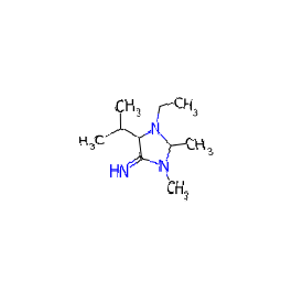 CCN1C(C(C)C)C(=N)N(C)C1C